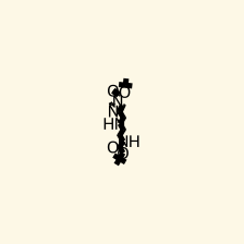 CC(C)(C)OC(=O)NCCNCc1cn(C(=O)OC(C)(C)C)cn1